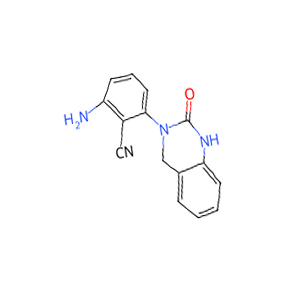 N#Cc1c(N)cccc1N1Cc2ccccc2NC1=O